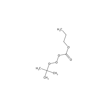 CCCOC(=O)OOOC(C)(C)C